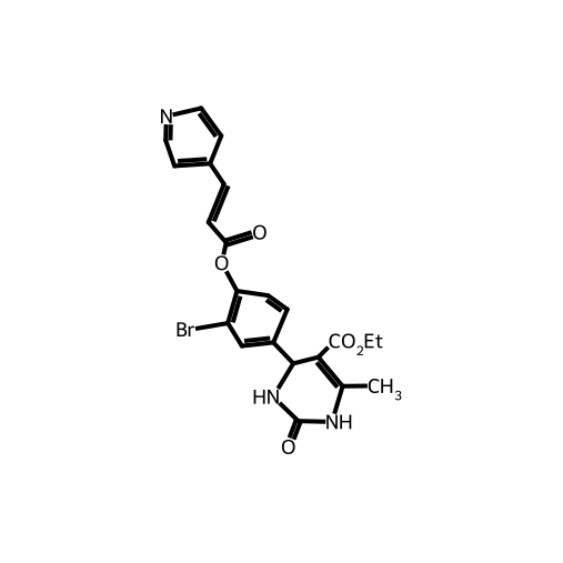 CCOC(=O)C1=C(C)NC(=O)NC1c1ccc(OC(=O)/C=C/c2ccncc2)c(Br)c1